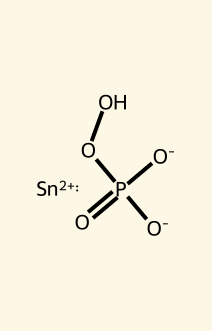 O=P([O-])([O-])OO.[Sn+2]